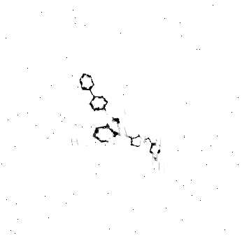 Cl.Cn1cnc(CN2CCC(n3c(=O)n(-c4ccc(-c5ccccc5)cc4)c4cccnc43)C2)c1